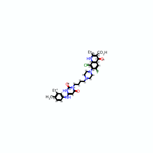 CCc1cc(Nc2cc(=O)n(CCCCN3CCN(c4c(F)cc5c(=O)c(C(=O)O)c(CC)[nH]c5c4Cl)CC3)c(=O)[nH]2)ccc1C